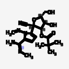 C=Nn1c(/C(N)=N\C)ccc1[C@]1(C#N)O[C@H](CO)[C@@H](O)[C@H]1OC(=O)C(C)(C)C